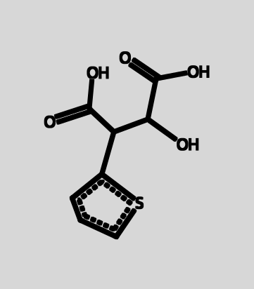 O=C(O)C(O)C(C(=O)O)c1cccs1